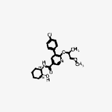 COCC(C)Oc1ncc(C(=O)N[C@@H]2CCCC[C@H]2O)cc1-c1ccc(Cl)cc1